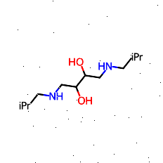 CC(C)CNCC(O)C(O)CNCC(C)C